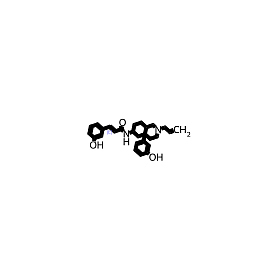 C=CCN1CCC2(c3cccc(O)c3)CC(NC(=O)/C=C/c3cccc(O)c3)CCC2C1